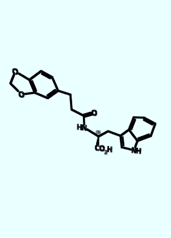 O=C(CCc1ccc2c(c1)OCO2)N[C@@H](Cc1c[nH]c2ccccc12)C(=O)O